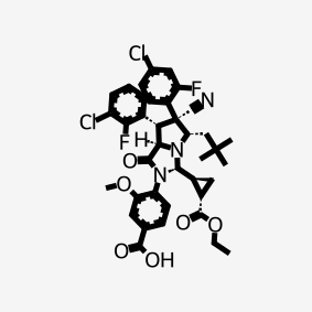 CCOC(=O)[C@H]1C[C@@H]1[C@@H]1N(c2ccc(C(=O)O)cc2OC)C(=O)[C@H]2[C@H](c3cccc(Cl)c3F)[C@@](C#N)(c3ccc(Cl)cc3F)[C@H](CC(C)(C)C)N12